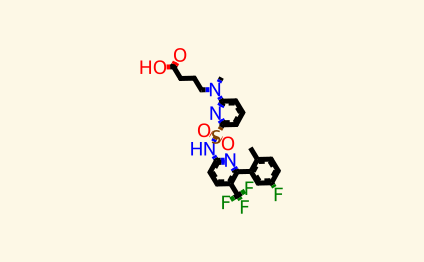 Cc1ccc(F)cc1-c1nc(NS(=O)(=O)c2cccc(N(C)CCCC(=O)O)n2)ccc1C(F)(F)F